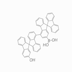 OB(O)c1cc(-c2cccc3c2-c2ccccc2C32c3ccccc3-c3ccc(O)cc32)c2c(c1)C1(c3ccccc3-c3ccccc31)c1ccccc1-2